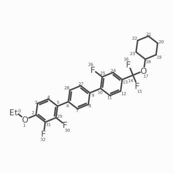 CCOc1ccc(-c2ccc(-c3ccc(C(F)(F)OC4CCCCC4)cc3F)cc2)c(F)c1F